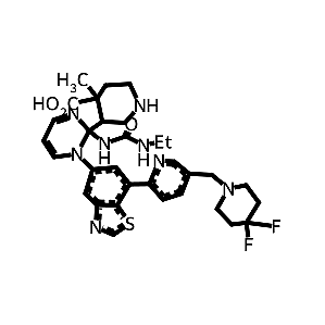 CCNC(=O)NC1(C2CNCCC2(C)C(=O)O)N=CC=CN1c1cc(-c2ccc(CN3CCC(F)(F)CC3)cn2)c2scnc2c1